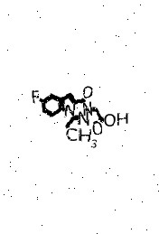 CCc1nn(CC(=O)O)c(=O)c2cc3cc(F)ccc3n12